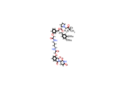 CCC(C)(C)C(=O)CN1CCC[C@H]1C(=O)O[C@H](CCc1ccc(OC)c(OC)c1)c1cccc(OCC(=O)NCCCCNC(=O)COc2cccc3c2C(=O)N(C2CCC(=O)NC2=O)C3=O)c1